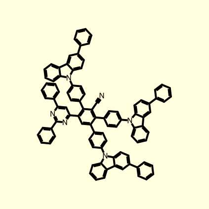 N#Cc1c(-c2ccc(-n3c4ccccc4c4cc(-c5ccccc5)ccc43)cc2)c(-c2ccc(-n3c4ccccc4c4cc(-c5ccccc5)ccc43)cc2)cc(-c2cc(-c3ccccc3)nc(-c3ccccc3)n2)c1-c1ccc(-n2c3ccccc3c3cc(-c4ccccc4)ccc32)cc1